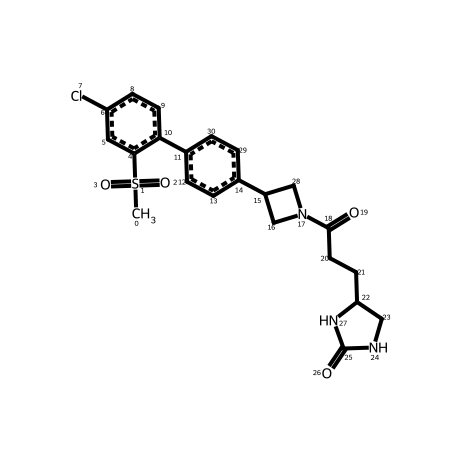 CS(=O)(=O)c1cc(Cl)ccc1-c1ccc(C2CN(C(=O)CCC3CNC(=O)N3)C2)cc1